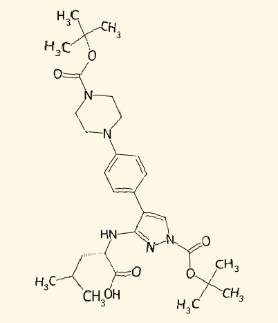 CC(C)C[C@H](Nc1nn(C(=O)OC(C)(C)C)cc1-c1ccc(N2CCN(C(=O)OC(C)(C)C)CC2)cc1)C(=O)O